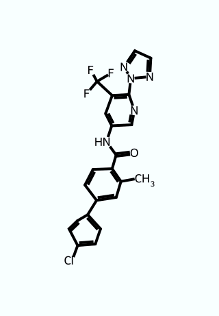 Cc1cc(-c2ccc(Cl)cc2)ccc1C(=O)Nc1cnc(-n2nccn2)c(C(F)(F)F)c1